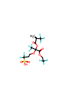 C=C(C(=O)OC(OCCC(F)(F)S(=O)(=O)O)(C(=O)OCC(F)(F)F)C(F)(F)F)C(F)(F)F